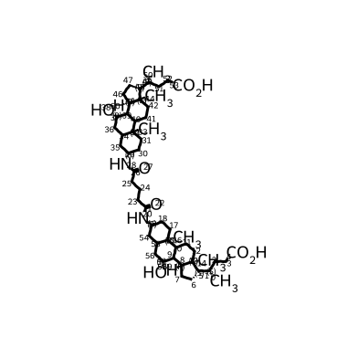 C[C@@H](CCC(=O)O)[C@@H]1CC[C@@H]2C3C(CC[C@]21C)[C@]1(C)CC[C@H](NC(=O)CCCC(=O)N[C@H]2CC[C@]4(C)C(C2)C[C@@H](O)C2C4CC[C@]4(C)[C@@H]2CC[C@H]4[C@@H](C)CCC(=O)O)CC1C[C@H]3O